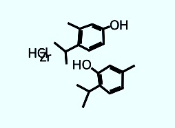 Cc1cc(O)ccc1C(C)C.Cc1ccc(C(C)C)c(O)c1.Cl.[Zr]